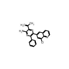 C=C(C)c1nc(-c2cc(Cl)c3ncccc3c2)c(-c2ccccc2)nc1N